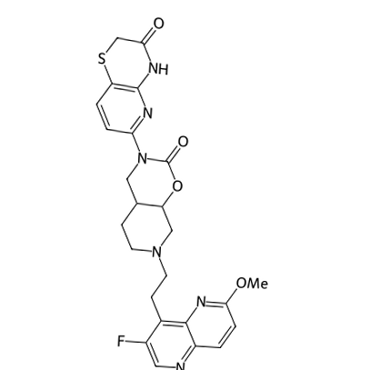 COc1ccc2ncc(F)c(CCN3CCC4CN(c5ccc6c(n5)NC(=O)CS6)C(=O)OC4C3)c2n1